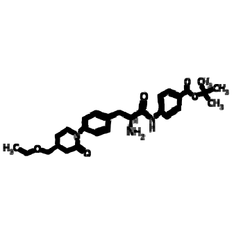 CCOCC1CCN(c2ccc(C[C@H](N)C(=O)Nc3ccc(C(=O)OC(C)(C)C)cc3)cc2)C(=O)C1